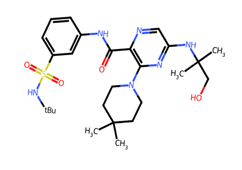 CC1(C)CCN(c2nc(NC(C)(C)CO)cnc2C(=O)Nc2cccc(S(=O)(=O)NC(C)(C)C)c2)CC1